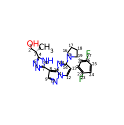 C[C@@H](CO)c1nnc(-c2cnn3ccc(N4CCC[C@@H]4c4cc(F)ccc4F)nc23)[nH]1